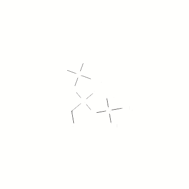 [CH2]C[Si](C)(O[Si](C)(C)C)O[Si](C)(C)C